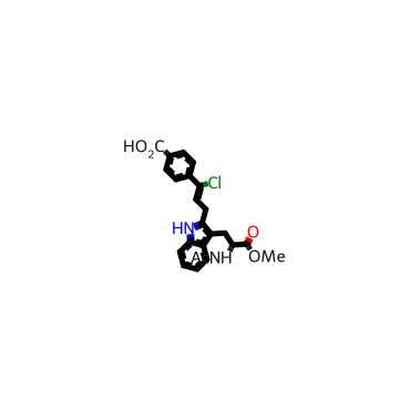 COC(=O)C(Cc1c(CC=C(Cl)c2ccc(C(=O)O)cc2)[nH]c2ccccc12)NC(C)=O